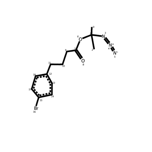 CC(C)(N=[N+]=[N-])OC(=O)CCCc1ccc(Br)cc1